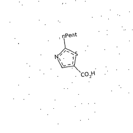 CCCCCc1ncc(C(=O)O)s1